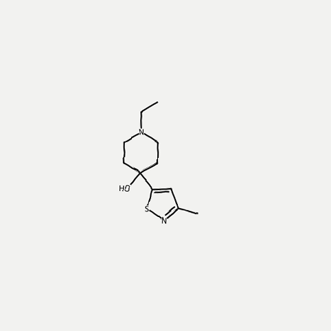 CCN1CCC(O)(c2cc(C)ns2)CC1